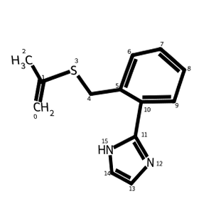 C=C(C)SCc1ccccc1-c1ncc[nH]1